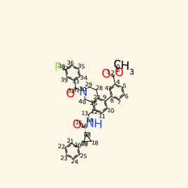 COC(=O)c1cccc(-c2ccc(CNC(=O)[C@@H]3C[C@@H]3c3ccccc3)c3c2CCN(C(=O)c2cccc(F)c2)C3)c1